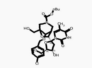 CCCCOC(=O)N1CC2C(OCc3ccc(Cl)cc3)C(CO)(C1)OC2[C@]1(n2cc(C)c(=O)[nH]c2=O)C[C@H](O)[C@@H](CO)O1